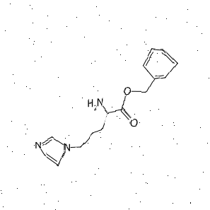 NC(CCCn1ccnc1)C(=O)OCc1ccccc1